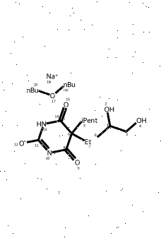 CC(O)CO.CCCC(C)C1(CC)C(=O)N=C([O-])NC1=O.CCCCOCCCC.[Na+]